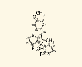 COc1ccc(COC(C)C(O)(c2ccccc2F)c2ccccc2F)cc1